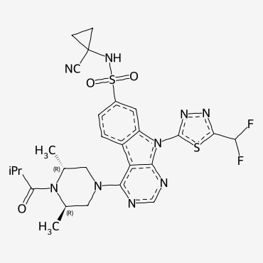 CC(C)C(=O)N1[C@H](C)CN(c2ncnc3c2c2ccc(S(=O)(=O)NC4(C#N)CC4)cc2n3-c2nnc(C(F)F)s2)C[C@H]1C